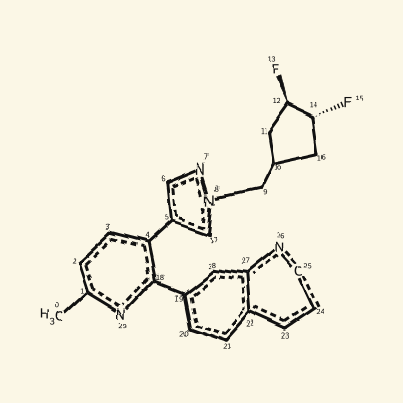 Cc1ccc(-c2cnn(CC3C[C@@H](F)[C@H](F)C3)c2)c(-c2ccc3cccnc3c2)n1